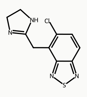 Clc1ccc2nsnc2c1CC1=NCCN1